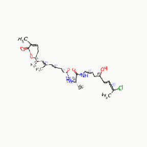 CC1=CC[C@@H]([C@@H](C)/C=C(C)/C=C/C=C/C(=O)N[C@H](C(=O)N/C=C\C[C@@H](O)C/C=C(\C)Cl)C(C)(C)C)OC1=O